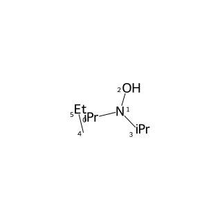 CC(C)N(O)C(C)C.CCC